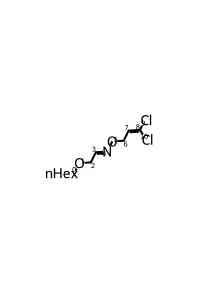 CCCCCCOCC=NOCC=C(Cl)Cl